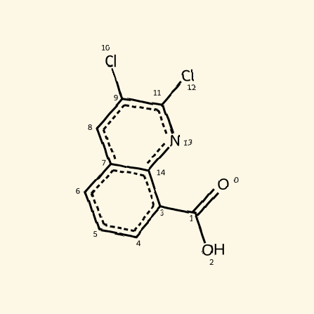 O=C(O)c1cccc2cc(Cl)c(Cl)nc12